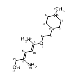 CN1CCN(CCO/C(N)=C/C=C(\N)CO)CC1